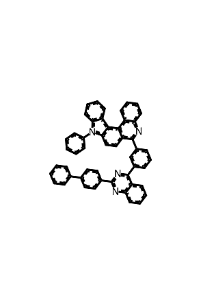 c1ccc(-c2ccc(-c3nc(-c4cccc(-c5nc6ccccc6c6c5ccc5c6c6ccccc6n5-c5ccccc5)c4)c4ccccc4n3)cc2)cc1